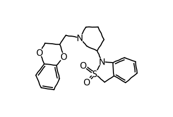 O=S1(=O)Cc2ccccc2N1C1CCCN(CC2COc3ccccc3O2)C1